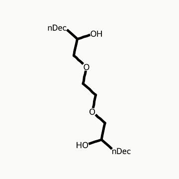 CCCCCCCCCCC(O)COCCOCC(O)CCCCCCCCCC